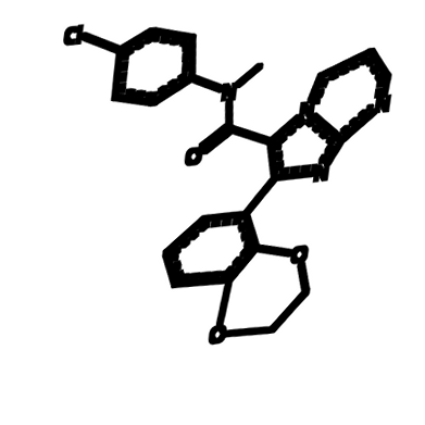 CN(C(=O)c1c(-c2cccc3c2OCCO3)nc2ncccn12)c1ccc(Cl)cc1